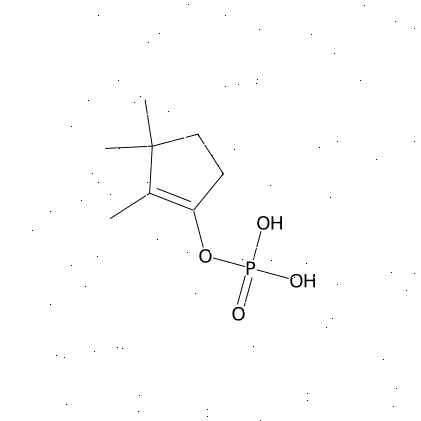 CC1=C(OP(=O)(O)O)CCC1(C)C